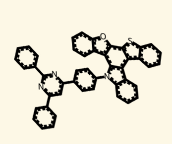 c1ccc(-c2cc(-c3ccc(-n4c5ccccc5c5c6c7ccccc7sc6c6oc7ccccc7c6c54)cc3)nc(-c3ccccc3)n2)cc1